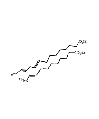 CCCC=CCC=CCCCCCCCC(=O)OCC.CCCCCCC=CCCCCCCCC(=O)OCC